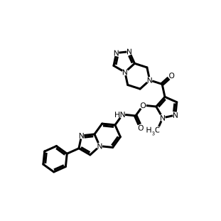 Cn1ncc(C(=O)N2CCn3cnnc3C2)c1OC(=O)Nc1ccn2cc(-c3ccccc3)nc2c1